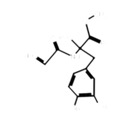 C=CC(=O)NC(C)(Cc1ccc(O)c(O)c1)C(=O)OC